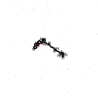 CC1=C2C[C@H]3[C@@H](CCC4=CC(=O)CC[C@@]43C)[C@@H]2CCC12O[C@@H]1C[C@H](C)CN(CCNC(=O)CCCCCNC(=O)CCCCC3SC[C@@H]4NC(=O)N[C@H]34)[C@H]1[C@H]2C